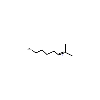 [CH2]/C(C)=C/CCCCCCCC